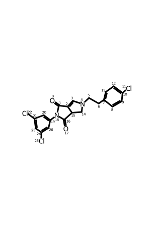 O=C1C2=CN(CCc3ccc(Cl)cc3)CC2C(=O)N1c1cc(Cl)cc(Cl)c1